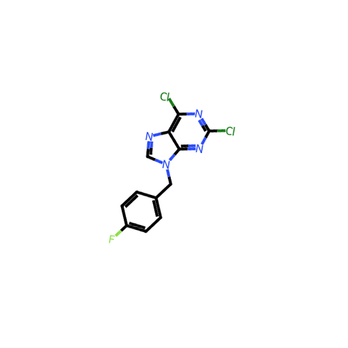 Fc1ccc(Cn2cnc3c(Cl)nc(Cl)nc32)cc1